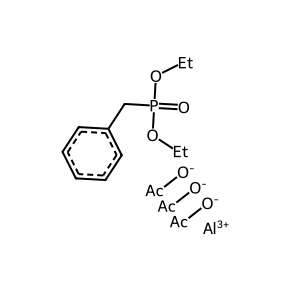 CC(=O)[O-].CC(=O)[O-].CC(=O)[O-].CCOP(=O)(Cc1ccccc1)OCC.[Al+3]